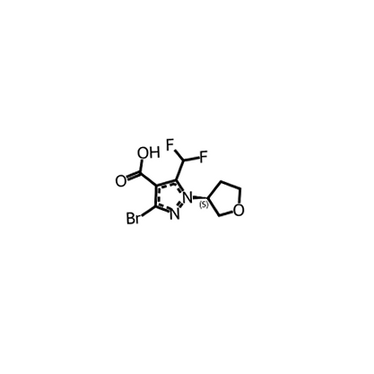 O=C(O)c1c(Br)nn([C@H]2CCOC2)c1C(F)F